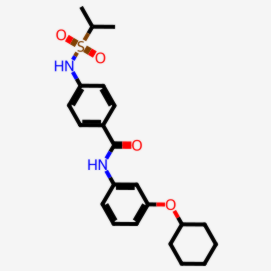 CC(C)S(=O)(=O)Nc1ccc(C(=O)Nc2cccc(OC3CCCCC3)c2)cc1